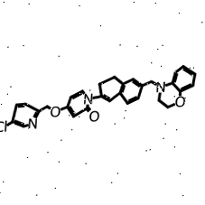 O=c1cc(OCc2ccc(Cl)cn2)ccn1C1=Cc2ccc(CN3CCOc4ccccc43)cc2CC1